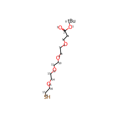 CC(C)(C)OC(=O)CCOCCOCCOCCOCCS